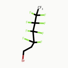 FC(F)(F)C(F)(F)C(F)(F)C(F)(F)C(F)(F)CCBr